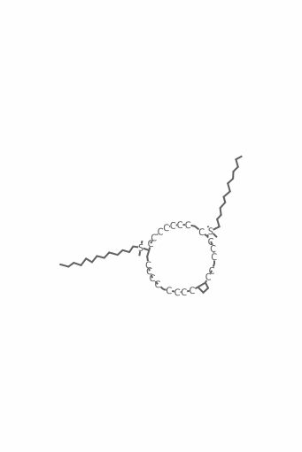 CCCCCCCCCCCCCS(C)(C)C1CCCCCCCCCCC2CCC2CCCCCCC(S(C)(C)CCCCCCCCCCCCC)CCCCCCCCC1